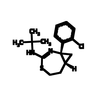 CC(C)(C)NC1=N[C@]2(c3ccccc3Cl)C[C@@H]2CCS1